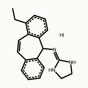 CCc1cccc2c1C=Cc1ccccc1C2N=C1NCCN1.I